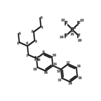 CCCCC(CC)CN1C=CC(c2ccccc2)=CC1.F[B-](F)(F)F